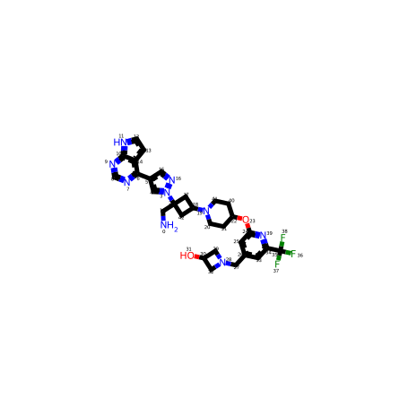 NCC1(n2cc(-c3ncnc4[nH]ccc34)cn2)CC(N2CCC(Oc3cc(CN4CC(O)C4)cc(C(F)(F)F)n3)CC2)C1